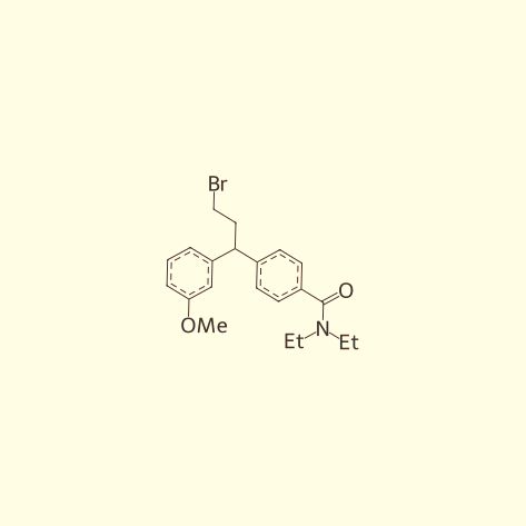 CCN(CC)C(=O)c1ccc(C(CCBr)c2cccc(OC)c2)cc1